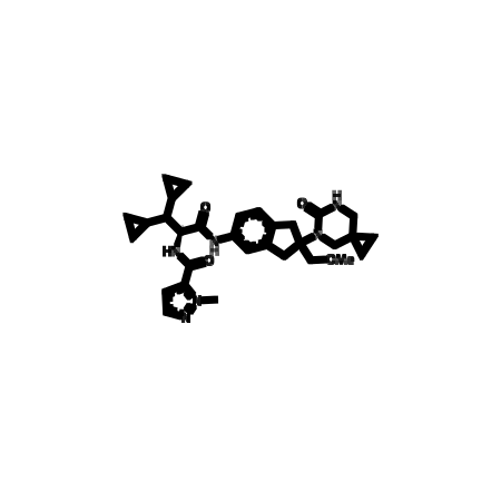 COCC1(N2CC3(CC3)CNC2=O)Cc2ccc(NC(=O)[C@@H](NC(=O)c3ccnn3C)C(C3CC3)C3CC3)cc2C1